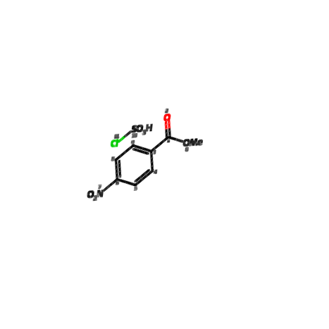 COC(=O)c1ccc([N+](=O)[O-])cc1.O=S(=O)(O)Cl